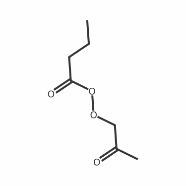 CCCC(=O)OOCC(C)=O